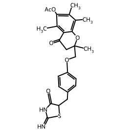 CC(=O)Oc1c(C)c(C)c2c(c1C)C(=O)CC(C)(COc1ccc(CC3SC(=N)NC3=O)cc1)O2